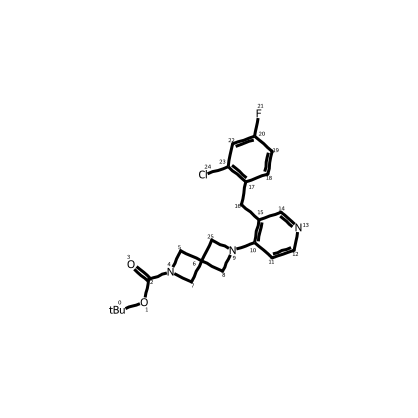 CC(C)(C)OC(=O)N1CC2(C1)CN(c1ccncc1Cc1ccc(F)cc1Cl)C2